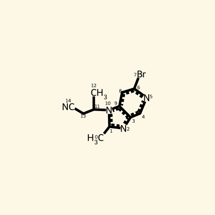 Cc1nc2cnc(Br)cc2n1C(C)CC#N